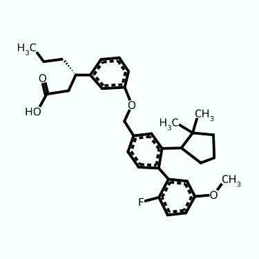 CCC[C@@H](CC(=O)O)c1cccc(OCc2ccc(-c3cc(OC)ccc3F)c(C3CCCC3(C)C)c2)c1